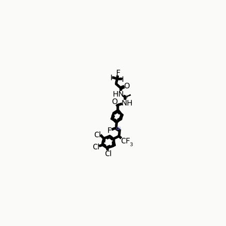 C[C@H](NC(=O)CC(F)(I)I)NC(=O)c1ccc(/C(F)=C/C(c2cc(Cl)c(Cl)c(Cl)c2)C(F)(F)F)cc1